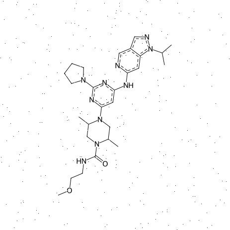 COCCNC(=O)N1CC(C)N(c2cc(Nc3cc4c(cn3)cnn4C(C)C)nc(N3CCCC3)n2)CC1C